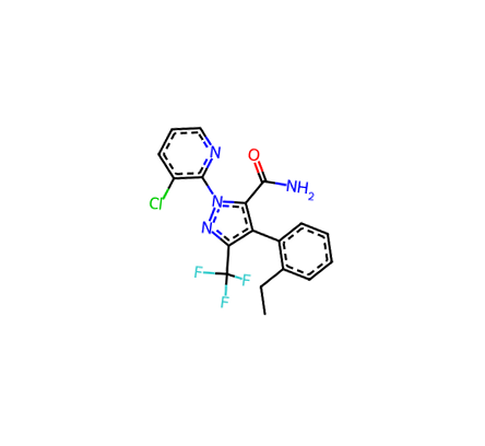 CCc1ccccc1-c1c(C(F)(F)F)nn(-c2ncccc2Cl)c1C(N)=O